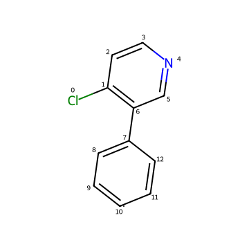 Clc1ccncc1-c1cc[c]cc1